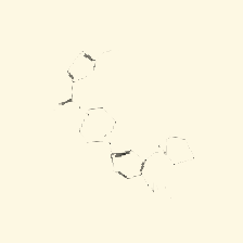 CCc1ccc(C(=O)N2CCN(c3ccc([N+](=O)[O-])c(N4CCCC4)c3)CC2)s1